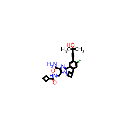 CC(C)(O)C#Cc1cc2c(cc1F)C1=CC(C1)n1c-2nc(C(N)=O)c1CNC(=O)C1CCC1